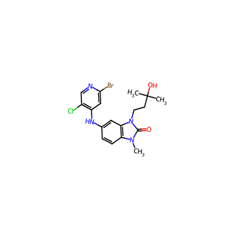 Cn1c(=O)n(CCC(C)(C)O)c2cc(Nc3cc(Br)ncc3Cl)ccc21